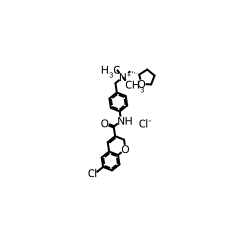 C[N+](C)(Cc1ccc(NC(=O)C2=Cc3cc(Cl)ccc3OC2)cc1)C[C@@H]1CCCO1.[Cl-]